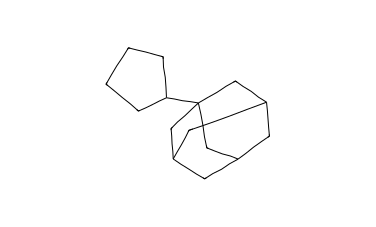 C1CCC(C23CC4CC(CC(C4)C2)C3)C1